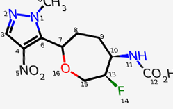 Cn1ncc([N+](=O)[O-])c1C1CC[C@@H](NC(=O)O)[C@@H](F)CO1